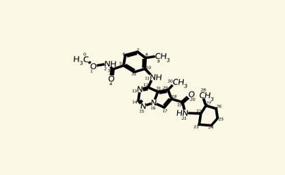 CONC(=O)c1ccc(C)c(Nc2ncnn3cc(C(=O)NC4CCCCC4C)c(C)c23)c1